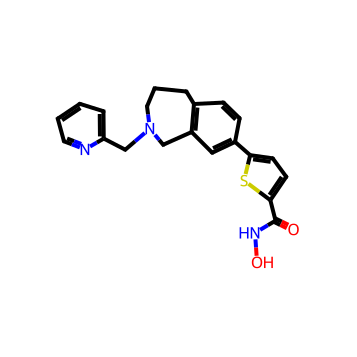 O=C(NO)c1ccc(-c2ccc3c(c2)CN(Cc2ccccn2)CCC3)s1